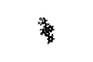 C[C@H](O)C(=O)N1N=C(c2cc(F)ccc2F)SC1(CCCN/C(N)=C/[N+](=O)[O-])c1ccccc1